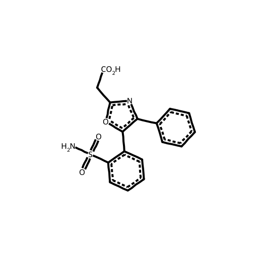 NS(=O)(=O)c1ccccc1-c1oc(CC(=O)O)nc1-c1ccccc1